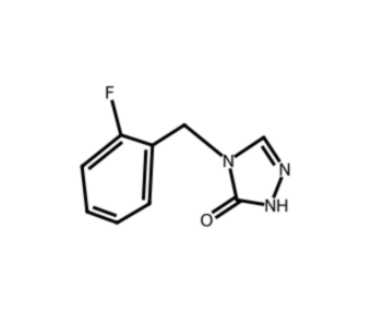 O=c1[nH]ncn1Cc1ccccc1F